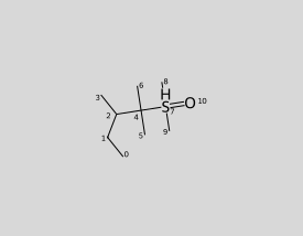 CCC(C)C(C)(C)[SH](C)(C)=O